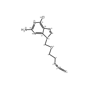 [N-]=[N+]=NCCOCn1cnc2c(Cl)nc(N)nc21